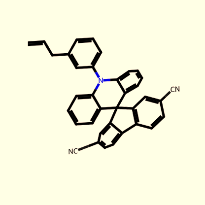 C=CCc1cccc(N2c3ccccc3C3(c4cc(C#N)ccc4-c4ccc(C#N)cc43)c3ccccc32)c1